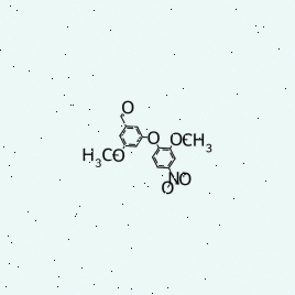 COc1cc(C=O)cc(Oc2ccc([N+](=O)[O-])cc2OC)c1